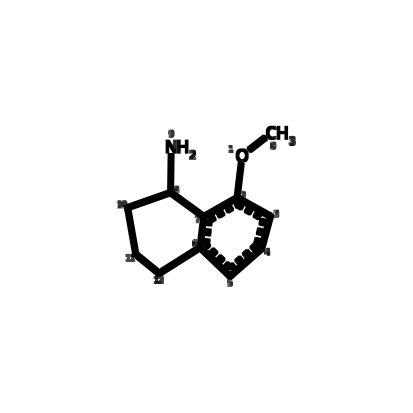 COc1cccc2c1C(N)CCC2